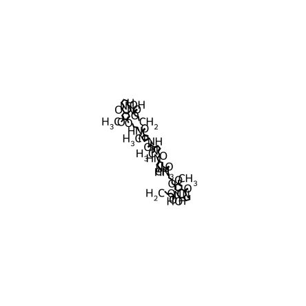 C=CCOC(=O)N1c2cc(OCCCNC(=O)c3cc(NC(=O)c4ccc(C(=O)Nc5cc(C(=O)NCCCOc6cc7c(cc6OC)C(=O)N6CCC[C@H]6[C@H](O)N7C(=O)OCC=C)n(C)c5)n4C)cn3C)c(OC)cc2C(=O)N2CCC[C@H]2[C@@H]1O